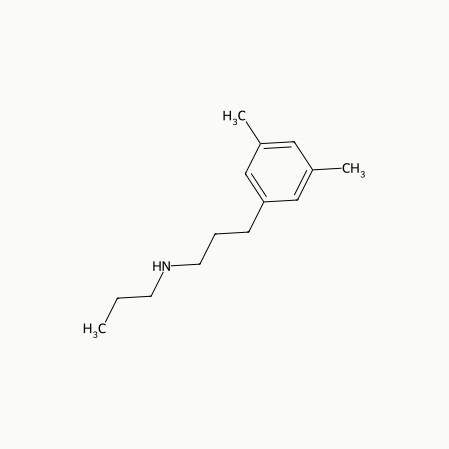 CCCNCCCc1cc(C)cc(C)c1